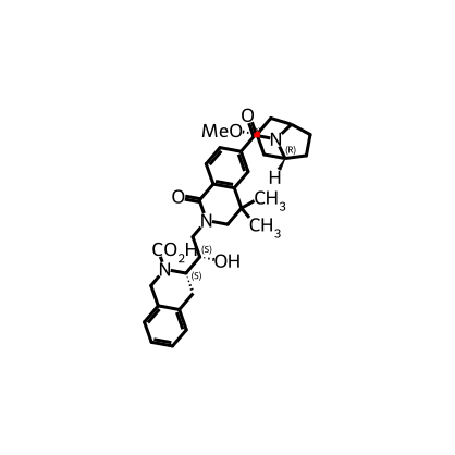 CO[C@@H]1CC2CC[C@H](C1)N2C(=O)c1ccc2c(c1)C(C)(C)CN(C[C@H](O)[C@@H]1Cc3ccccc3CN1C(=O)O)C2=O